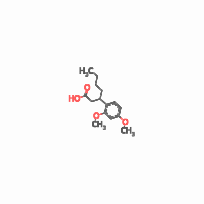 CCCCC(CC(=O)O)c1ccc(OC)cc1OC